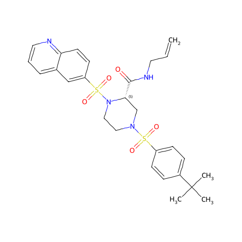 C=CCNC(=O)[C@@H]1CN(S(=O)(=O)c2ccc(C(C)(C)C)cc2)CCN1S(=O)(=O)c1ccc2ncccc2c1